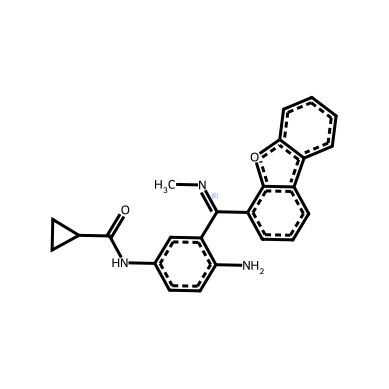 C/N=C(\c1cc(NC(=O)C2CC2)ccc1N)c1cccc2c1oc1ccccc12